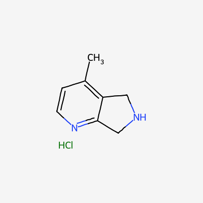 Cc1ccnc2c1CNC2.Cl